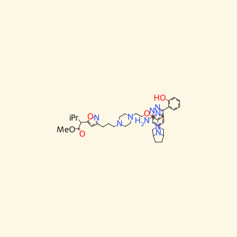 COC(=O)C(c1cc(CCCN2CCN(CCOc3cc(N4C5CCC4CN(c4cc(-c6ccccc6O)nnc4N)C5)ccn3)CC2)no1)C(C)C